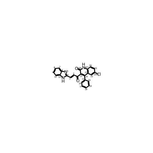 O=C(C=Cc1nc2ccccc2[nH]1)c1c(-c2ccccc2)c2cc(Cl)ccc2[nH]c1=O